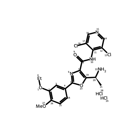 CCOc1cc(-c2nc(C(=O)Nc3c(Cl)cncc3Cl)c([C@H](C)N)o2)ccc1OC.Cl.Cl